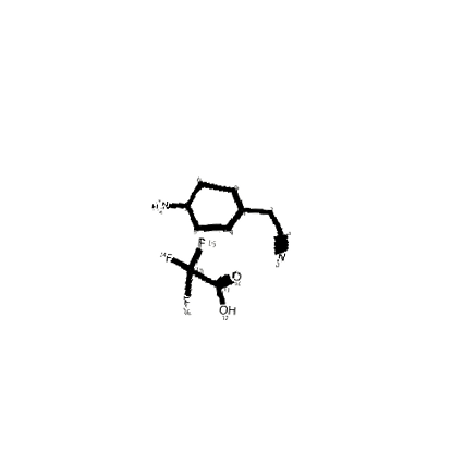 N#CCC1CCC(N)CC1.O=C(O)C(F)(F)F